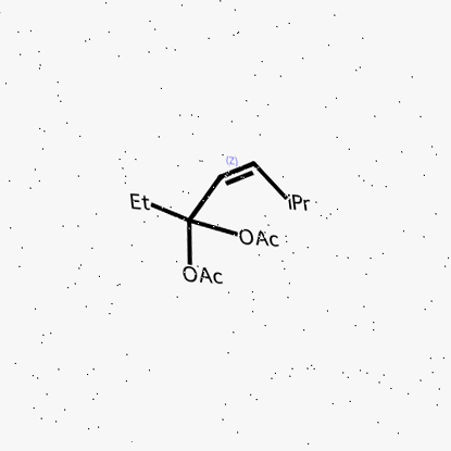 CCC(/C=C\C(C)C)(OC(C)=O)OC(C)=O